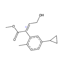 COC(=O)/C(=C/CO)c1cc(C2CC2)ccc1C